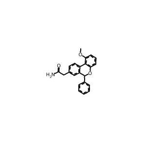 COc1cccc2c1-c1ccc(CC(N)=O)cc1C(c1ccccc1)O2